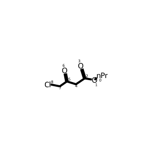 CCCOC(=O)CC(=O)CCl